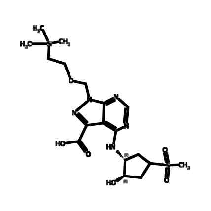 C[Si](C)(C)CCOCn1nc(C(=O)O)c2c(N[C@@H]3CC(S(C)(=O)=O)C[C@H]3O)ncnc21